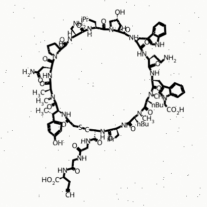 C#CC[C@H](NC(=O)CNC(=O)CNC(=O)[C@@H]1CSCC(=O)N[C@@H]([C@@H](C)c2ccc(O)cc2)C(=O)N(C)[C@@H](C)C(=O)N[C@@H](CC(N)=O)C(=O)N2CCC[C@H]2C(=O)N[C@@H](CN)C(=O)N[C@@H](CC(C)C)C(=O)N2C[C@H](O)C[C@H]2C(=O)N[C@@H](Cc2c[nH]c3ccccc23)C(=O)N[C@@H](CCN)C(=O)N[C@@H](Cc2cn(CC(=O)O)c3ccccc23)C(=O)N(C)[C@@H](CCCC)C(=O)N(C)[C@@H](CCCC)C(=O)N[C@@H](CC(C)C)C(=O)N1)C(=O)O